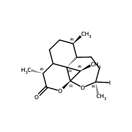 C[C@@H]1CCC2[C@@H](C)C(=O)O[C@@]34O[C@](C)(I)CCC1[C@@]23[C@H]4C